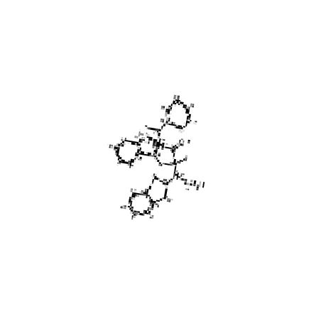 CC(NC(=O)C(C)(Cc1c[nH]c2ccccc12)N(C(=O)O)C1Cc2ccccc2C1)c1ccccc1